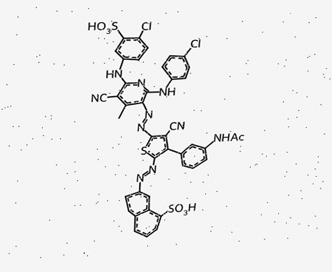 CC(=O)Nc1cccc(-c2c(N=Nc3ccc4cccc(S(=O)(=O)O)c4c3)sc(N=Nc3c(Nc4ccc(Cl)cc4)nc(Nc4ccc(Cl)c(S(=O)(=O)O)c4)c(C#N)c3C)c2C#N)c1